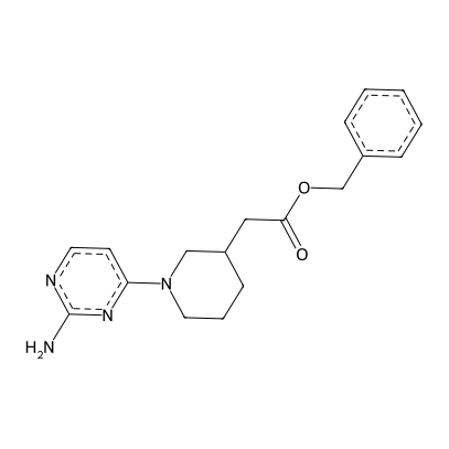 Nc1nccc(N2CCCC(CC(=O)OCc3ccccc3)C2)n1